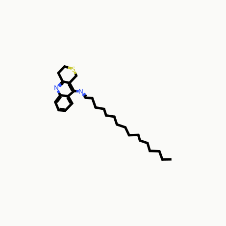 CCCCCCCCCCCCCCCC=Nc1c2c(nc3ccccc13)CCSC2